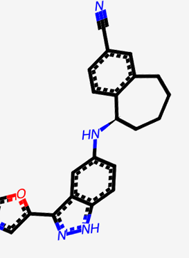 N#Cc1ccc2c(c1)CCCC[C@H]2Nc1ccc2[nH]nc(-c3cnco3)c2c1